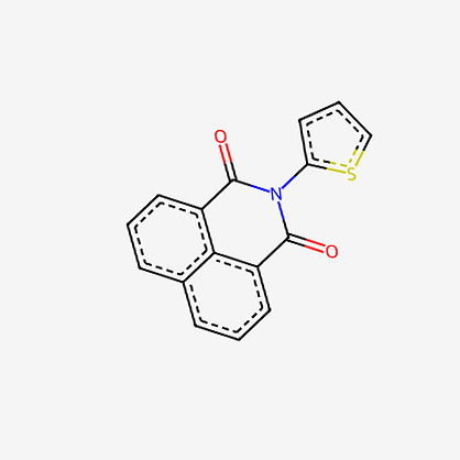 O=C1c2cccc3cccc(c23)C(=O)N1c1cccs1